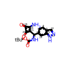 CC(C)(C)OC(=O)NC(c1ccc2cn[nH]c2c1)c1c(N)c(=O)c1=O